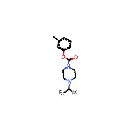 CCC(CC)N1CCN(C(=O)Oc2cccc(C)c2)CC1